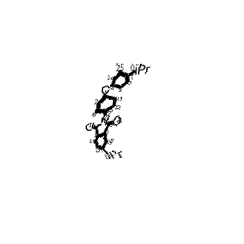 CC(C)c1ccc(Oc2ccc(N3C(=O)c4ccc(C(C)C)cc4C3=O)cc2)cc1